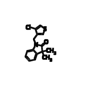 CC1(C)C(=O)N(Cc2cscc2Cl)c2ccccc21